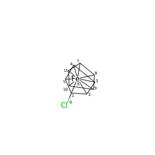 Cl[C]12[CH]3[CH]4[CH]5[CH]1[Fe]45321678[CH]2[CH]1[CH]6[CH]7[CH]28